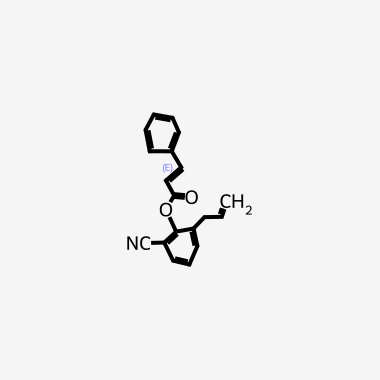 C=CCc1cccc(C#N)c1OC(=O)/C=C/c1ccccc1